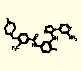 Cc1ccc(NC(=O)c2ccc(CN3CCN(C)CC3)c(C(F)(F)F)c2)cc1Nc1nccn1-c1cc(N)ncn1